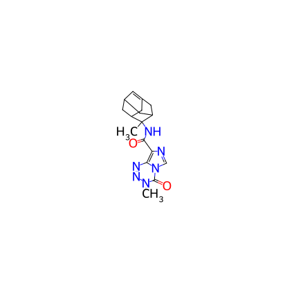 Cn1nnc2c(C(=O)NC3(C)C4CC5=CC(C4)CC3C5)ncn2c1=O